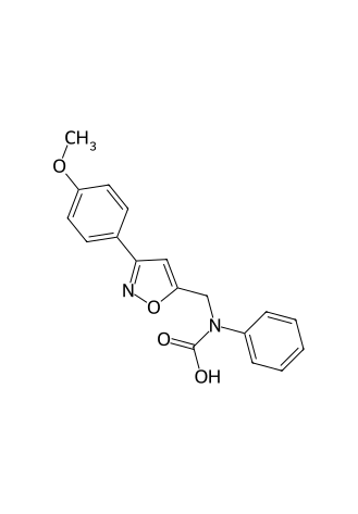 COc1ccc(-c2cc(CN(C(=O)O)c3ccccc3)on2)cc1